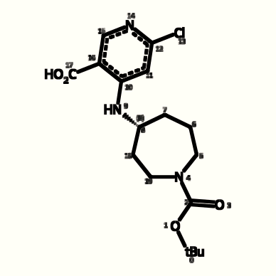 CC(C)(C)OC(=O)N1CCC[C@@H](Nc2cc(Cl)ncc2C(=O)O)CC1